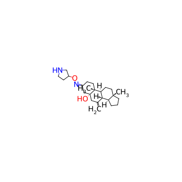 C=C1C[C@@]2(O)CC(=NOC3CCNC3)CC[C@]2(C)[C@H]2CC[C@]3(C)CCC[C@H]3[C@H]12